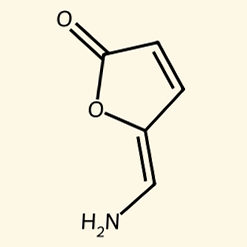 N/C=C1/C=CC(=O)O1